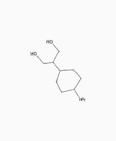 CCCC1CCC(C(CO)CO)CC1